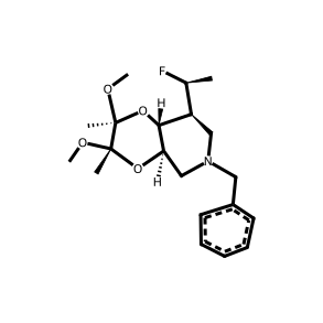 CO[C@@]1(C)O[C@@H]2[C@@H]([C@H](C)F)CN(Cc3ccccc3)C[C@H]2O[C@]1(C)OC